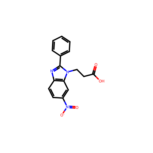 O=C(O)CCn1c(-c2ccccc2)nc2ccc([N+](=O)[O-])cc21